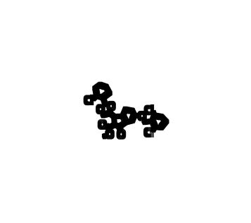 COC(=O)C1C(=O)c2cc(OCc3c(Cl)cccc3Cl)ccc2C1C1=COC(c2ccccc2Cl)O1